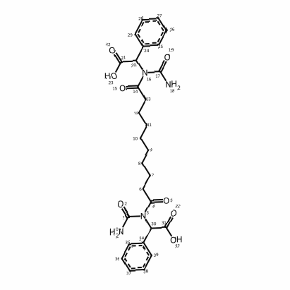 NC(=O)N(C(=O)CCCCCCCCC(=O)N(C(N)=O)C(C(=O)O)c1ccccc1)C(C(=O)O)c1ccccc1